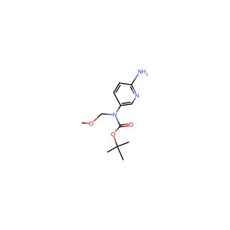 COCN(C(=O)OC(C)(C)C)c1ccc(N)nc1